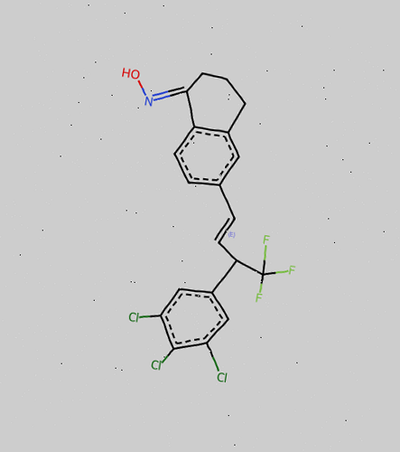 ON=C1CCCc2cc(/C=C/C(c3cc(Cl)c(Cl)c(Cl)c3)C(F)(F)F)ccc21